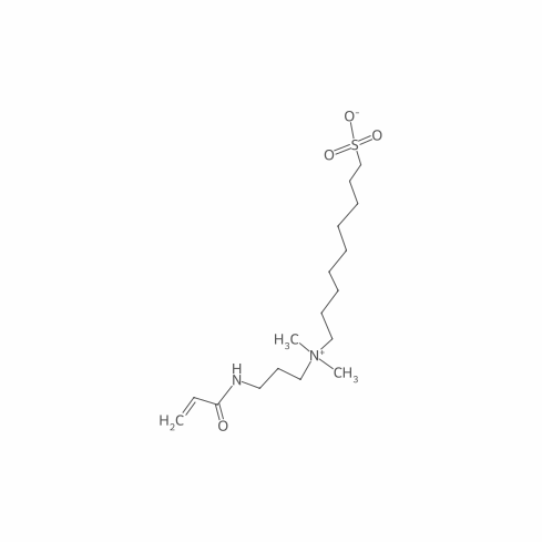 C=CC(=O)NCCC[N+](C)(C)CCCCCCCCCS(=O)(=O)[O-]